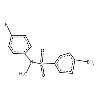 Bc1ccc(S(=O)(=O)N(C)c2ccc(F)cc2)cc1